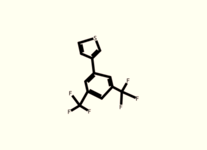 FC(F)(F)c1cc(-c2ccsc2)cc(C(F)(F)F)c1